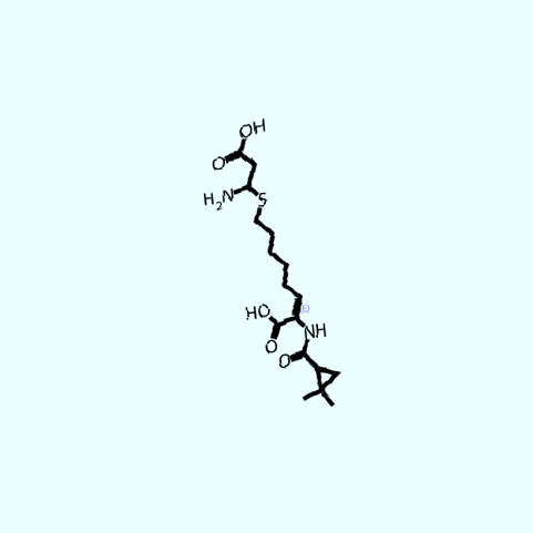 CC1(C)CC1C(=O)N/C(=C/CCCCCSC(N)CC(=O)O)C(=O)O